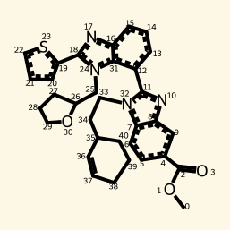 COC(=O)c1ccc2c(c1)nc(-c1cccc3nc(-c4cccs4)n(CC4CCCO4)c13)n2CCC1C=CCCC1